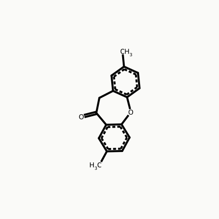 Cc1ccc2c(c1)CC(=O)c1cc(C)ccc1O2